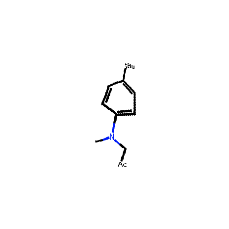 CC(=O)CN(C)c1ccc(C(C)(C)C)cc1